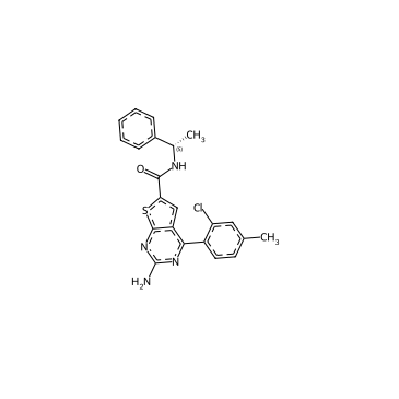 Cc1ccc(-c2nc(N)nc3sc(C(=O)N[C@@H](C)c4ccccc4)cc23)c(Cl)c1